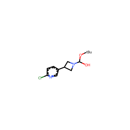 CC(C)(C)OC(O)N1CC(c2ccc(Cl)nc2)C1